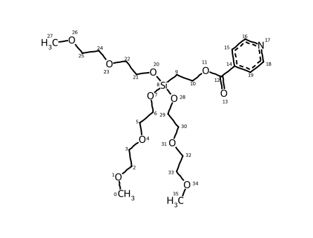 COCCOCCO[Si](CCOC(=O)c1ccncc1)(OCCOCCOC)OCCOCCOC